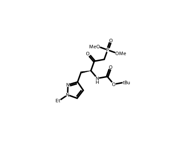 CCn1ccc(C[C@H](NC(=O)OC(C)(C)C)C(=O)CP(=O)(OC)OC)n1